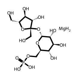 O=P(O)(O)OC[C@H]1O[C@H](O[C@]2(CO)O[C@H](CO)[C@@H](O)[C@@H]2O)[C@H](O)[C@@H](O)[C@@H]1O.[MgH2]